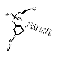 [CH2]C(CCCCCCCCC)(OC=CC(=O)O)Oc1ccccc1.[CH2]C[O].[CH2]C[O].[CH2]C[O].[CH2]C[O].[CH2]C[O].[CH2]C[O].[CH2]C[O].[CH2]C[O].[CH2]C[O].[CH2]C[O]